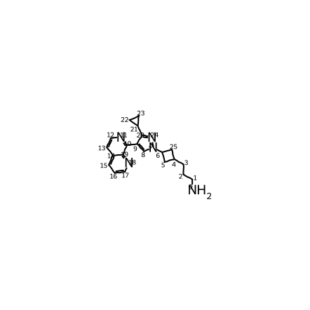 NCCCC1CC(n2cc(-c3nccc4cccnc34)c(C3CC3)n2)C1